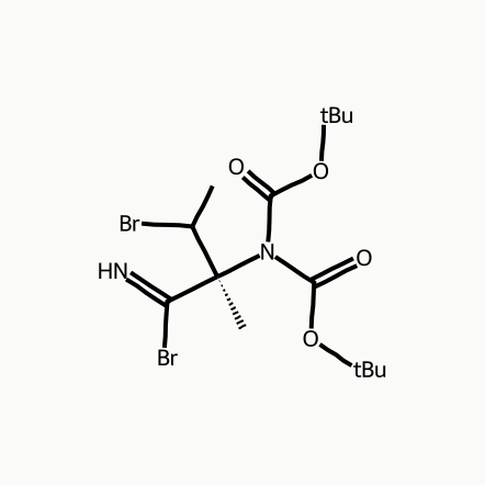 CC(Br)[C@](C)(C(=N)Br)N(C(=O)OC(C)(C)C)C(=O)OC(C)(C)C